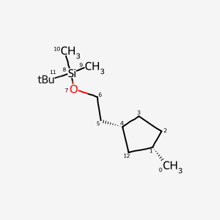 C[C@H]1CC[C@@H](CCO[Si](C)(C)C(C)(C)C)C1